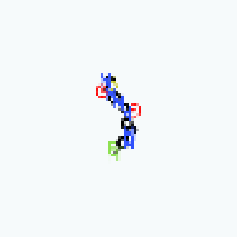 O=C(c1nccs1)N1CCN(C2CC(=O)N(c3ccc4c(c3)CCN4c3ccc(C(F)(F)F)cn3)C2)CC1